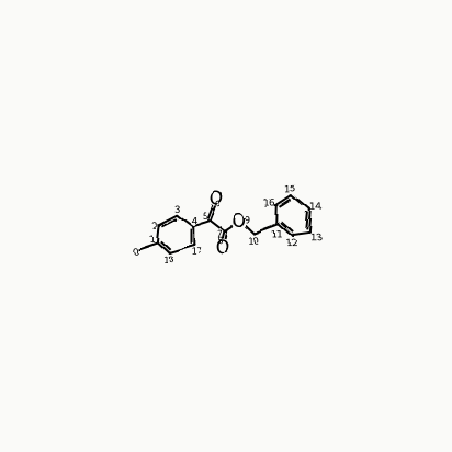 Cc1ccc(C(=O)C(=O)OCc2ccccc2)cc1